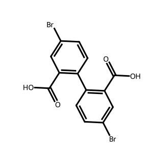 O=C(O)c1cc(Br)ccc1-c1ccc(Br)cc1C(=O)O